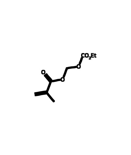 C=C(C)C(=O)OCOC(=O)OCC